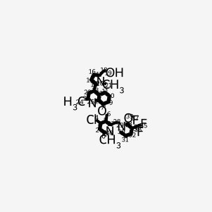 Cc1cc(Cl)c(COc2cccc3c(-c4ccc(CO)n4C)cc(C)nc23)c(Cn2cccc(C(F)(F)F)c2=O)n1